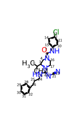 CC(C)C1CN(C(=O)Nc2ccc(Cl)cc2)CCN1/C(=N\C#N)NCCCc1ccccc1